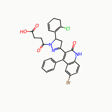 O=C(O)CCC(=O)N1N=C(c2c(-c3ccccc3)c3cc(Br)ccc3[nH]c2=O)CC1C1=C(Cl)CCC=C1